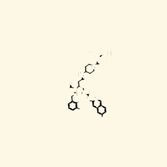 CC(=O)N(NCc1cccc(F)c1Cl)[C@H](COC(=O)Nc1cc2cc(F)ccc2cn1)CC(=O)NC1CCN(C(=O)OC(C)(C)C)CC1